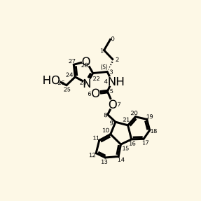 CCC[C@H](NC(=O)OCC1c2ccccc2-c2ccccc21)c1nc(CO)co1